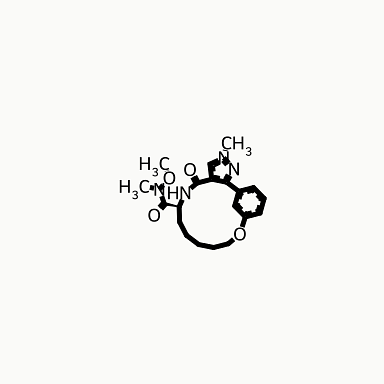 CON(C)C(=O)[C@@H]1CCCCCOc2cccc(c2)-c2nn(C)cc2C(=O)N1